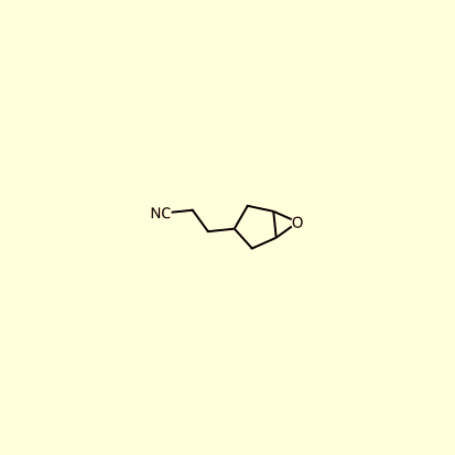 N#CCCC1CC2OC2C1